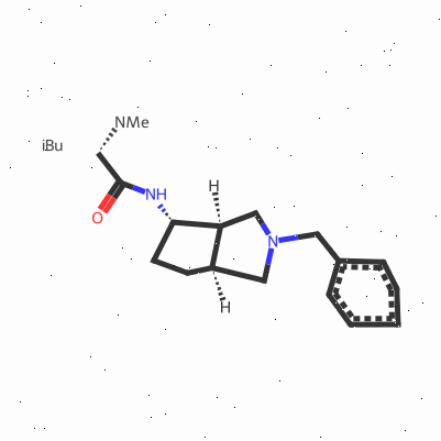 CC[C@H](C)[C@H](NC)C(=O)N[C@H]1CC[C@@H]2CN(Cc3ccccc3)C[C@@H]21